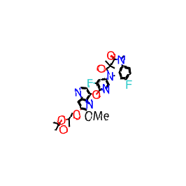 COc1nc2c(Oc3ncc(N(C)C(=O)C(C)(C)C(=O)N(C)c4ccc(F)cc4)cc3F)ccnc2cc1OCC1COC(C)(C)O1